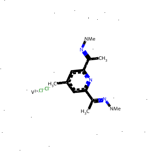 CNN=C(C)c1cc(C)cc(C(C)=NNC)n1.[Cl-].[Cl-].[V+2]